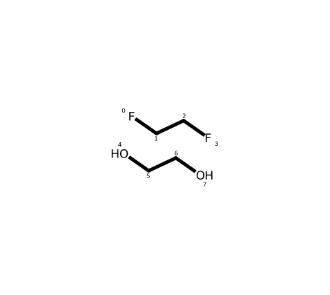 FCCF.OCCO